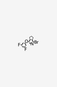 Fc1cc(F)cc(Oc2cnc(Br)c3c2CCC3)c1